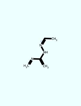 C=NC(=C)N/N=C\C